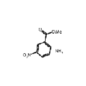 COC(=O)c1cccc([N+](=O)[O-])c1.N